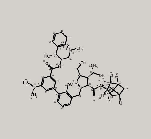 COc1c(CN2O[C@@H](CO)[C@@H]([C@H](C)O)[C@H]2C(=O)N[C@H]2C[C@H]3C[C@@H]([C@@H]2C)C3(C)C)cccc1-c1cc(C(=O)N[C@H](CN(C)C)[C@H](O)C2=CCCC=C2)cc(N(C)C)c1